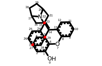 Oc1cccc2c1Oc1ccccc1C2=C1CC2CCC(C1)N2Cc1ccccc1